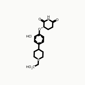 Cl.O=C(O)CN1CCC(c2ccc(O[C@H]3CCC(=O)NC3=O)cc2)CC1